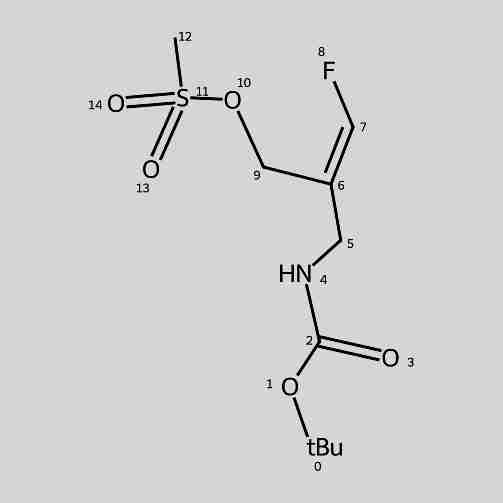 CC(C)(C)OC(=O)NCC(=CF)COS(C)(=O)=O